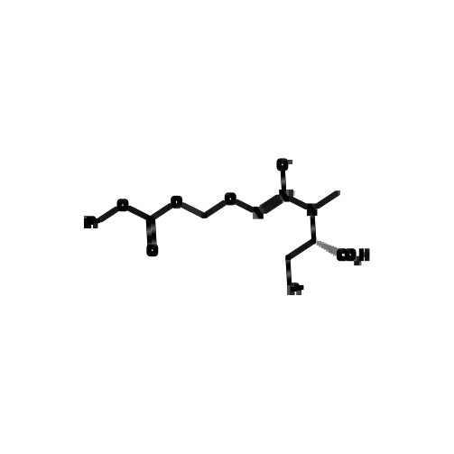 CC(C)C[C@@H](C(=O)O)N(C)/[N+]([O-])=N/OCOC(=O)OC(C)C